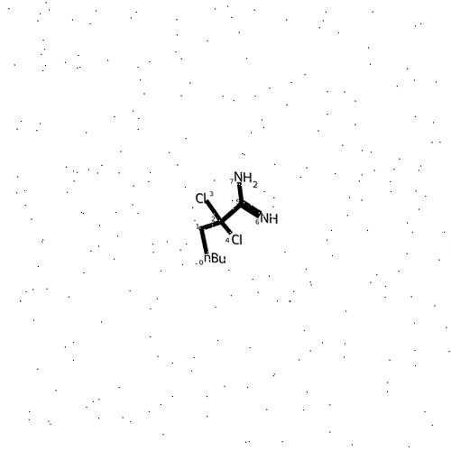 CCCCCC(Cl)(Cl)C(=N)N